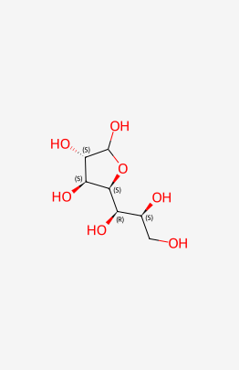 OC[C@H](O)[C@@H](O)[C@@H]1OC(O)[C@@H](O)[C@@H]1O